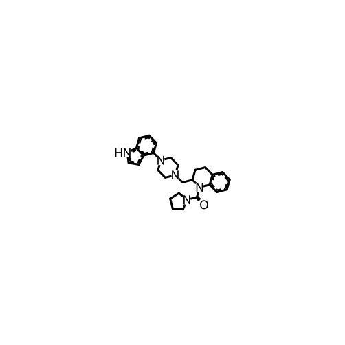 O=C(N1CCCC1)N1c2ccccc2CCC1CN1CCN(c2cccc3[nH]ccc23)CC1